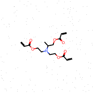 C=CC(=O)OCCN(CCOC(=O)C=C)C(C)COC(=O)C=C